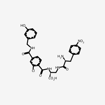 N[C@@H](Cc1ccc([N+](=O)[O-])cc1)C(=O)NC[C@H](NC(=O)c1ccc(C(=O)NCc2cccc(O)c2)cc1Cl)C(=O)O